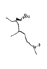 CBCCC(C)C(C)CCCC